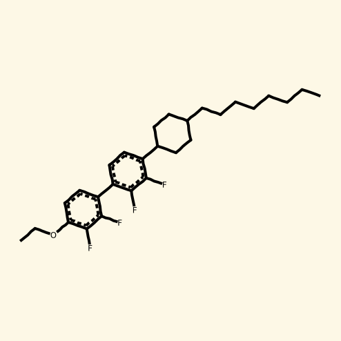 CCCCCCCCC1CCC(c2ccc(-c3ccc(OCC)c(F)c3F)c(F)c2F)CC1